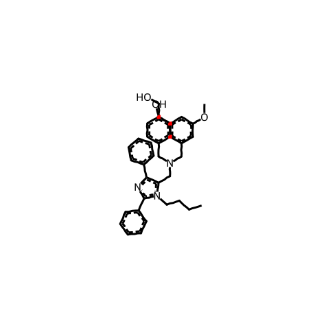 CCCCn1c(-c2ccccc2)nc(-c2ccccc2)c1CN(Cc1ccc(CO)cc1)Cc1cc(CO)cc(OC)c1